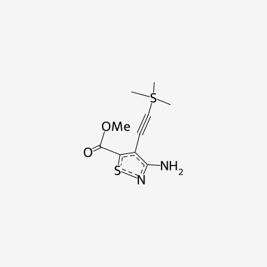 COC(=O)c1snc(N)c1C#CS(C)(C)C